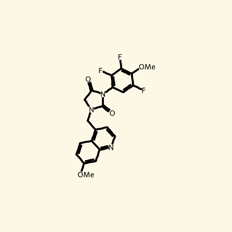 COc1ccc2c(CN3CC(=O)N(c4cc(F)c(OC)c(F)c4F)C3=O)ccnc2c1